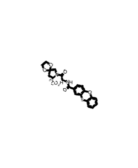 O=C(NCC(=O)N1CC2(C[C@H]1C(=O)O)OCCO2)c1ccc2c(c1)Sc1ccccc1O2